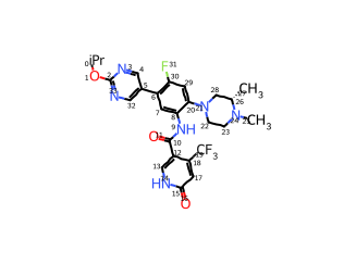 CC(C)Oc1ncc(-c2cc(NC(=O)c3c[nH]c(=O)cc3C(F)(F)F)c(N3CCN(C)[C@@H](C)C3)cc2F)cn1